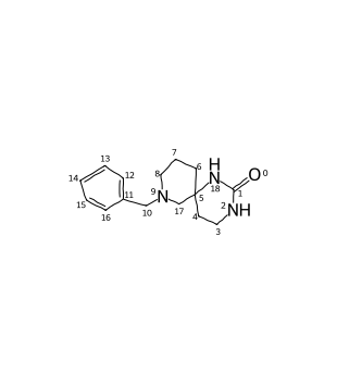 O=C1NCCC2(CCCN(Cc3ccccc3)C2)N1